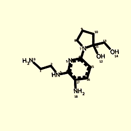 NCCNc1nc(N2CCCC2(O)CO)ccc1N